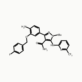 CC(C)(C)n1nc(-c2ccc(N)c(OCc3ccc(F)cc3)c2)c(C(N)=O)c1Nc1cccc(C(F)(F)F)n1